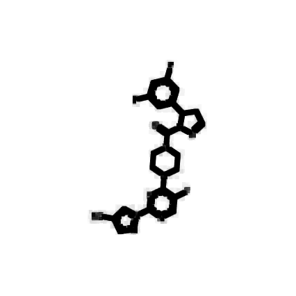 N#Cc1cnn(-c2ncc(F)c(N3CCN(C(=O)N4N=CCC4c4cc(F)cc(F)c4)CC3)n2)c1